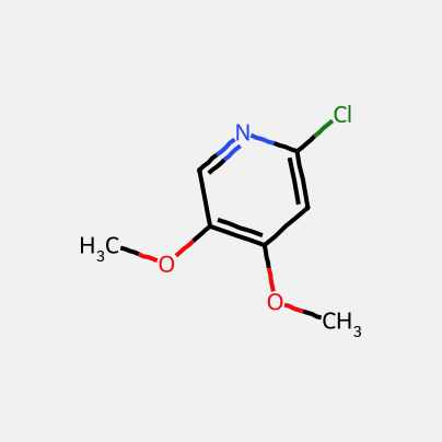 COc1cnc(Cl)cc1OC